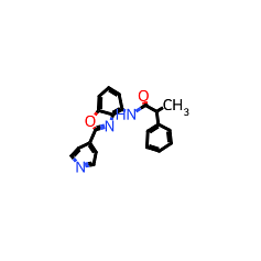 CC(C(=O)Nc1cccc2oc(-c3ccncc3)nc12)c1ccccc1